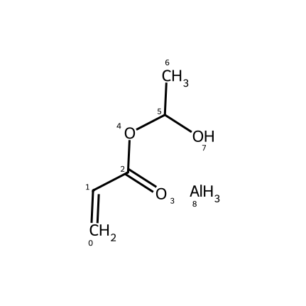 C=CC(=O)OC(C)O.[AlH3]